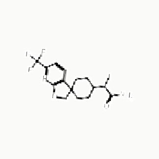 NC(=O)C(I)C1CCC2(CC1)COc1nc(C(F)(F)F)ccc12